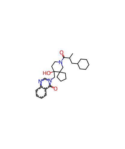 CC(CC1CCCCC1)C(=O)N1CCC(O)(Cn2cnc3ccccc3c2=O)C2(CCCC2)C1